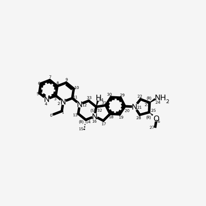 CCN1c2ncccc2C=CC1N1C[C@@H](C)N2Cc3cc(N4C[C@@H](N)[C@H](OC)C4)ccc3[C@H]2C1